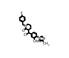 COc1cc(C(Cl)C2CCCN(Cc3ccc(F)cc3)C2=O)ccc1-n1cnc(C)c1